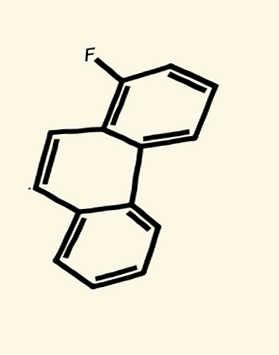 Fc1cccc2c1c[c]c1ccccc12